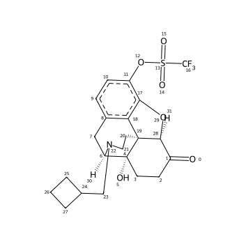 O=C1CC[C@@]2(O)[C@H]3Cc4ccc(OS(=O)(=O)C(F)(F)F)c5c4[C@@]2(CCN3CC2CCC2)[C@H]1O5